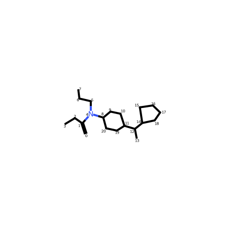 C=C(CC)N(CCC)C1CCC(C(C)C2CCCC2)CC1